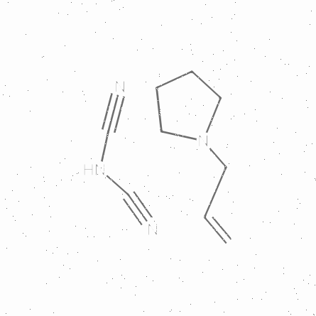 C=CCN1CCCC1.N#CNC#N